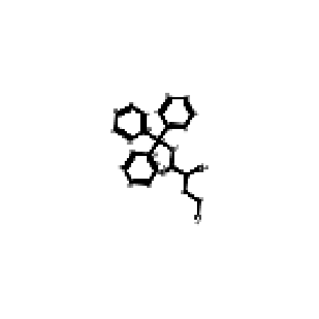 ClCCC(Cl)C(Cl)OC(c1ccccc1)(c1ccccc1)c1ccccc1